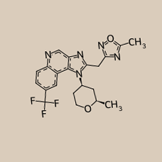 Cc1nc(Cc2nc3cnc4ccc(C(F)(F)F)cc4c3n2[C@@H]2CCO[C@H](C)C2)no1